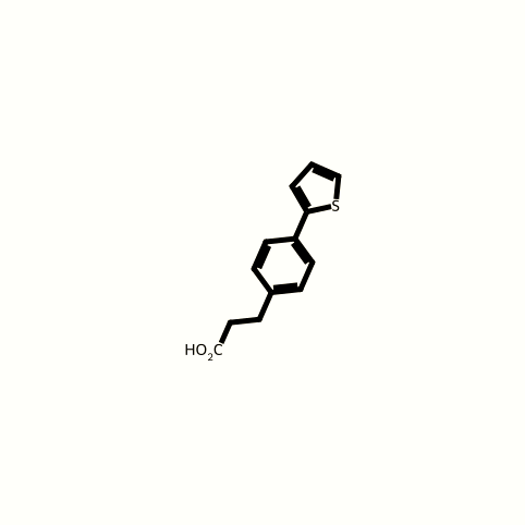 O=C(O)CCc1ccc(-c2cccs2)cc1